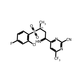 C[C@@H](CC(=N)c1cc(C(F)(F)F)nc(C#N)n1)S(=O)(=O)c1ccc(F)cc1Cl